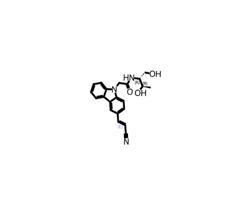 C[C@@H](O)[C@@H](CO)NC(=O)Cn1c2ccccc2c2cc(/C=C/C#N)ccc21